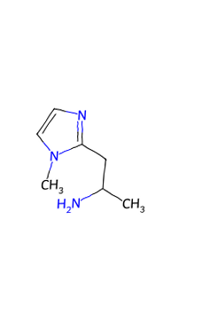 CC(N)Cc1nccn1C